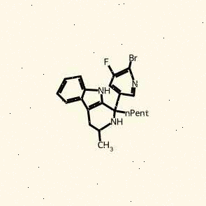 CCCCCC1(c2cnc(Br)c(F)c2)NC(C)Cc2c1[nH]c1ccccc21